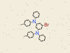 Cc1ccc(N(c2ccccc2)c2cc(Br)cc(N(c3ccccc3)c3ccc(C)cc3)c2)cc1